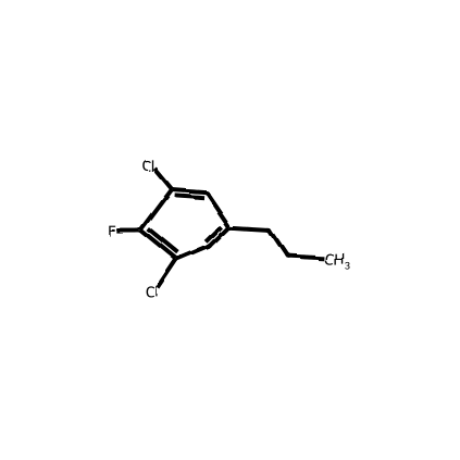 CCCc1cc(Cl)c(F)c(Cl)c1